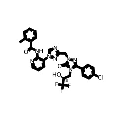 Cc1ccccc1C(=O)Nc1ncccc1-n1cnc(Cn2nc(-c3ccc(Cl)cc3)n(C[C@H](O)C(F)(F)F)c2=O)n1